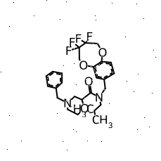 CC(C)CN(Cc1ccc2c(c1)OCC(F)(F)C(F)(F)CO2)C(=O)C1CN(Cc2ccccc2)CCO1